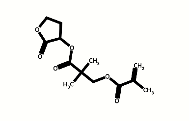 C=C(C)C(=O)OCC(C)(C)C(=O)OC1CCOC1=O